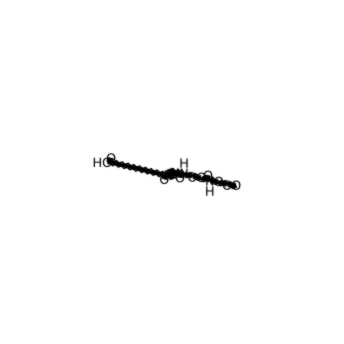 O=CCOCCOCCNC(=O)COCCOCCNC(=O)CN1CCN(C(=O)CCCCCCCCCCCCCCCCCCC(=O)O)CC1